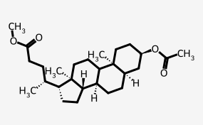 COC(=O)CC[C@@H](C)[C@H]1CC[C@H]2[C@@H]3CC[C@@H]4C[C@H](OC(C)=O)CC[C@]4(C)C3CC[C@]12C